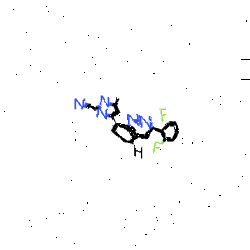 Cc1cc([C@]23CC[C@H](CC2)c2cc(-c4c(F)cccc4F)nnc23)nc(C#N)n1